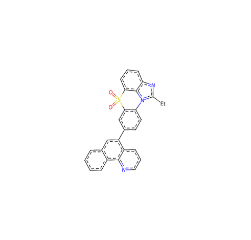 CCc1nc2cccc3c2n1-c1ccc(-c2cc4ccccc4c4ncccc24)cc1S3(=O)=O